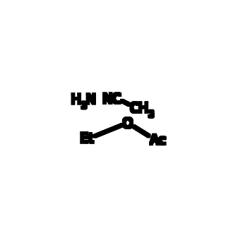 CC#N.CCOC(C)=O.N